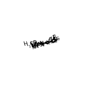 Cn1cnc2ncn(Cc3nc(C4C5C=C(c6ccc(F)c(F)c6F)CC54)no3)c(=O)c21